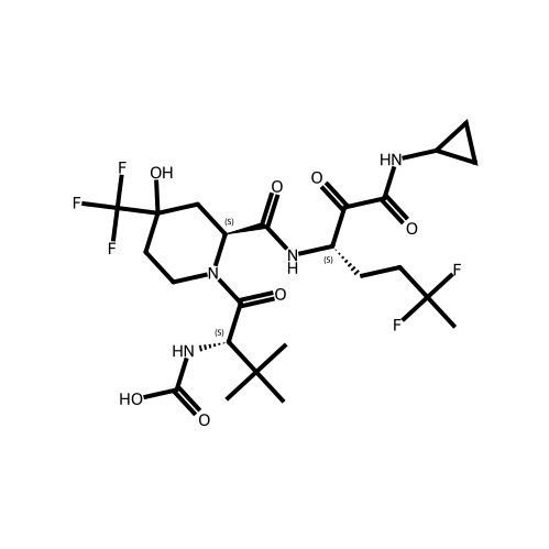 CC(F)(F)CC[C@H](NC(=O)[C@@H]1CC(O)(C(F)(F)F)CCN1C(=O)[C@@H](NC(=O)O)C(C)(C)C)C(=O)C(=O)NC1CC1